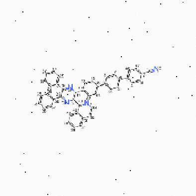 N#Cc1ccc(-c2ccc(-c3ccc(-c4nc(-c5ccccc5)c(-c5ccccc5)nc4-c4nccc5ccccc45)cc3)cc2)cc1